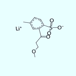 COCCC(=O)c1cc(C)ccc1S(=O)(=O)[O-].[Li+]